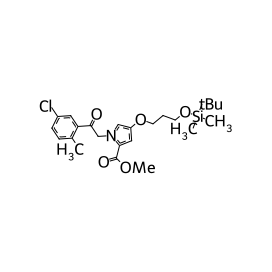 COC(=O)c1cc(OCCCO[Si](C)(C)C(C)(C)C)cn1CC(=O)c1cc(Cl)ccc1C